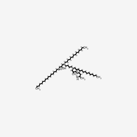 CCCCCCCCCCCCCCCCNCC(O)CN(CCCCCCCCCCCCCC)CCCCN(CCCCCCCCCCCCCC)CC(C)CNCCC(C)O